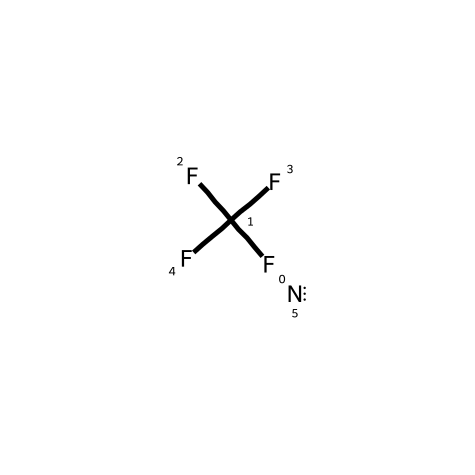 FC(F)(F)F.[N]